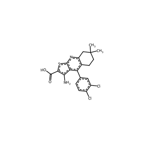 CC1(C)CCc2c(nc3sc(C(=O)O)c(N)c3c2-c2ccc(Cl)c(Cl)c2)C1